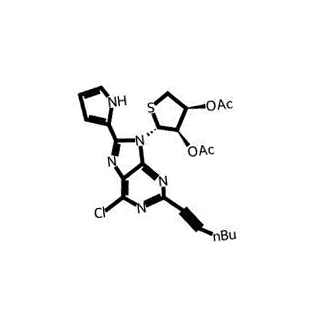 CCCCC#Cc1nc(Cl)c2nc(-c3ccc[nH]3)n([C@@H]3SC[C@@H](OC(C)=O)[C@H]3OC(C)=O)c2n1